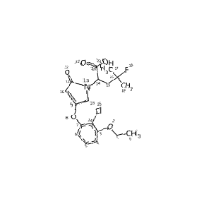 CCOc1cccc(OC2=CC(=O)N(C(CC(C)(C)F)C(=O)O)C2)c1Cl